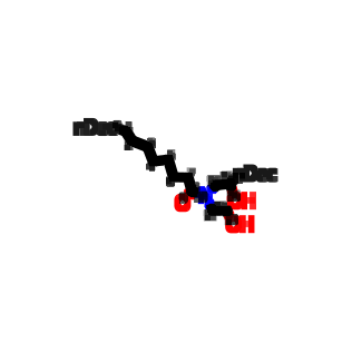 CCCCCCCCCCCCCCCCCC(=O)N(CCO)CC(O)CCCCCCCCCC